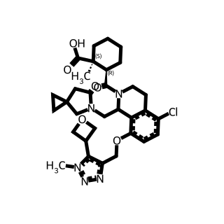 Cn1nnc(COc2ccc(Cl)c3c2C(CN2CC4(CC4)CC2=O)N(C(=O)[C@@H]2CCCC[C@]2(C)C(=O)O)CC3)c1C1COC1